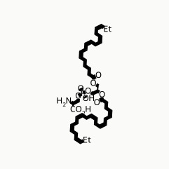 CC/C=C\C/C=C\C/C=C\C/C=C\C/C=C\C/C=C\CCC(=O)O[C@H](COC(=O)CCCC/C=C\C/C=C\C/C=C\C/C=C\CC)COP(=O)(O)OC[C@H](N)C(=O)O